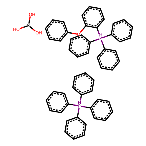 OB(O)O.c1ccc(Oc2ccccc2[PH](c2ccccc2)(c2ccccc2)c2ccccc2)cc1.c1ccc([PH](c2ccccc2)(c2ccccc2)c2ccccc2)cc1